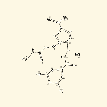 CNC(=O)COc1cc(C(=N)N)ccc1CNC(=O)c1cc(O)cc(Cl)c1.Cl